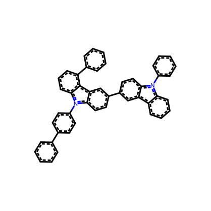 c1ccc(-c2ccc(-n3c4ccc(-c5ccc6c(c5)c5ccccc5n6-c5ccccc5)cc4c4c(-c5ccccc5)cccc43)cc2)cc1